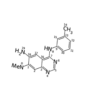 CNc1cc2ncnc(Nc3cccc(C)c3)c2cc1N